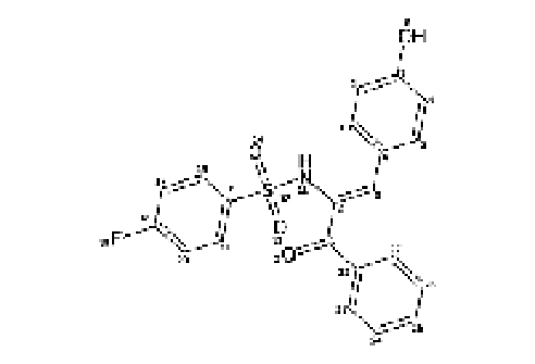 O=C(C(=Cc1ccc(O)cc1)NS(=O)(=O)c1ccc(F)cc1)c1ccccc1